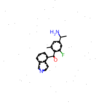 Cc1cc(C(C)N)cc(F)c1C(=O)c1cccc2cnccc12